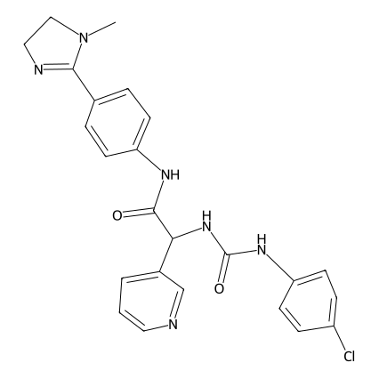 CN1CCN=C1c1ccc(NC(=O)C(NC(=O)Nc2ccc(Cl)cc2)c2cccnc2)cc1